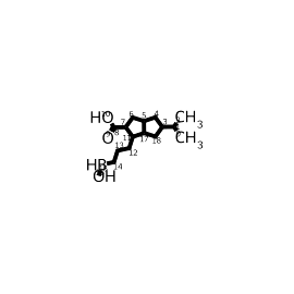 CC(C)C1CC2CC(C(=O)O)C(CCCBO)C2C1